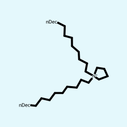 CCCCCCCCCCCCCCCCCCC[N+]1(CCCCCCCCCCCCCCCCCC)CCCC1